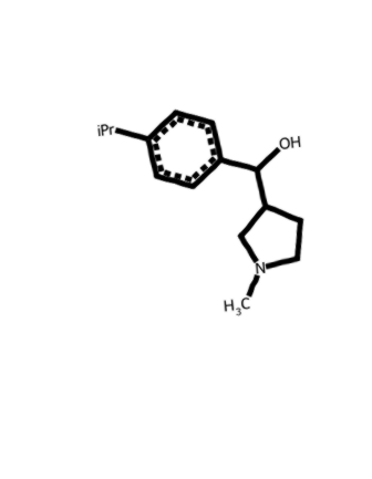 CC(C)c1ccc(C(O)C2CCN(C)C2)cc1